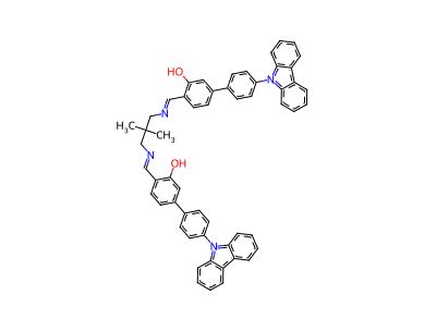 CC(C)(C/N=C/c1ccc(-c2ccc(-n3c4ccccc4c4ccccc43)cc2)cc1O)C/N=C/c1ccc(-c2ccc(-n3c4ccccc4c4ccccc43)cc2)cc1O